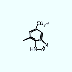 Cc1cc(C(=O)O)cc2nn[nH]c12